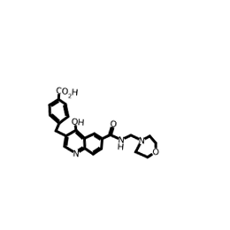 O=C(O)c1ccc(Cc2cnc3ccc(C(=O)NCN4CCOCC4)cc3c2O)cc1